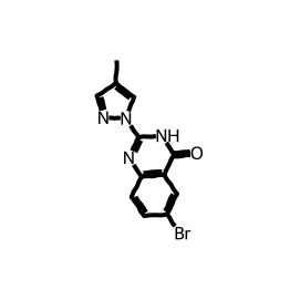 Cc1cnn(-c2nc3ccc(Br)cc3c(=O)[nH]2)c1